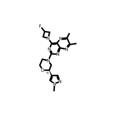 Cc1nc2nc(N3CCO[C@H](c4cnn(C)c4)C3)nc(N3CC(F)C3)c2nc1C